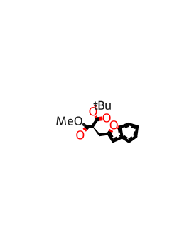 COC(=O)[C@H](Cc1cc2ccccc2o1)C(=O)OC(C)(C)C